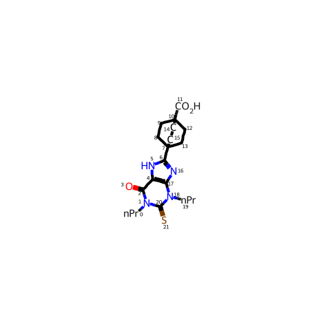 CCCn1c(=O)c2[nH]c(C34CCC(C(=O)O)(CC3)CC4)nc2n(CCC)c1=S